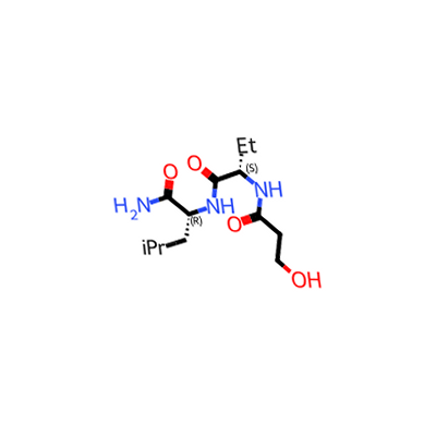 CC[C@H](NC(=O)CCO)C(=O)N[C@H](CC(C)C)C(N)=O